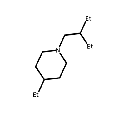 CCC1CCN(CC(CC)CC)CC1